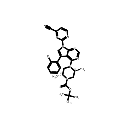 C[C@@H]1CN(c2ncnc3c2c(-c2ccccc2F)cn3-c2nccc(C#N)n2)[C@@H](C)CN1C(=O)OC(C)(C)C